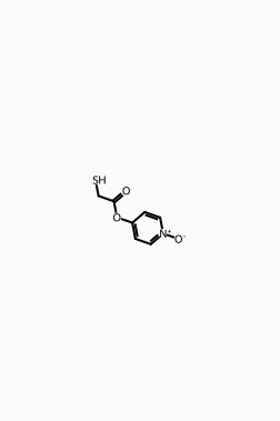 O=C(CS)Oc1cc[n+]([O-])cc1